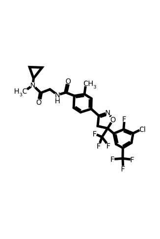 Cc1cc(C2=NOC(c3cc(C(F)(F)F)cc(Cl)c3F)(C(F)(F)F)C2)ccc1C(=O)NCC(=O)N(C)C1CC1